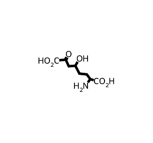 NC(CCC(O)CC(=O)C(=O)O)C(=O)O